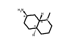 CN1CCC[C@H]2CC[C@@H](N)C[C@@H]21